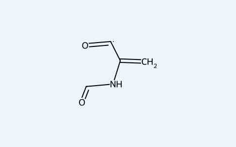 C=C([C]=O)NC=O